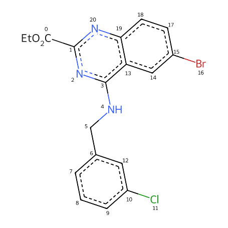 CCOC(=O)c1nc(NCc2cccc(Cl)c2)c2cc(Br)ccc2n1